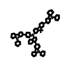 CC1(C)c2cc(-c3ccc4c(c3)c3ccccc3n4-c3ccccc3)ccc2-c2ccc(N(c3ccc(-c4ccc5c6ccccc6n(-c6ccccc6)c5c4)cc3)c3ccc(-c4ccc5c(c4)c4ccccc4n5-c4ccccc4)c4ccccc34)cc21